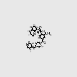 Cc1cc(C(=O)N2CCN(Cc3ccncc3F)CC2)ccc1NS(=O)(=O)c1cccc2cccnc12